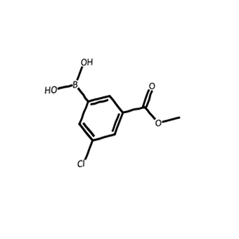 COC(=O)c1cc(Cl)cc(B(O)O)c1